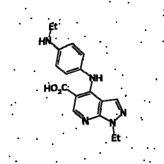 CCNc1ccc(Nc2c(C(=O)O)cnc3c2cnn3CC)cc1